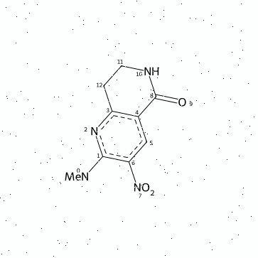 CNc1nc2c(cc1[N+](=O)[O-])C(=O)NCC2